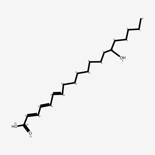 CCCCCC(O)CCCCCCCC=CC=CC=CC(=O)O